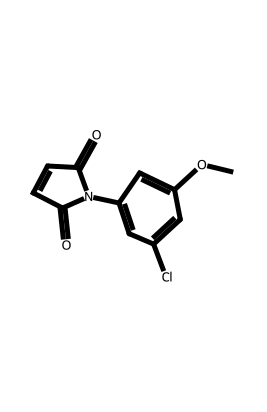 COc1cc(Cl)cc(N2C(=O)C=CC2=O)c1